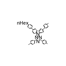 CCCCCCc1ccc(-c2ccc3c(c2)c2cc(-c4ccc(C)cc4)ccc2n3-c2nc(-c3ccc(C)cc3)nc(-c3ccc(C)cc3)n2)cc1